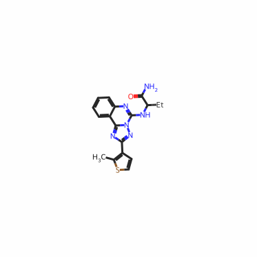 CCC(Nc1nc2ccccc2c2nc(-c3ccsc3C)nn12)C(N)=O